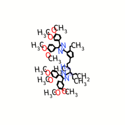 C=C/C(CC)=C(\C=C(/C)CCc1ccc(CC)c(C2N=C(c3ccc(OC)c(OC)c3)C(c3ccc(OC)c(OC)c3)=N2)c1)c1nc(-c2ccc(OC)c(OC)c2)c(-c2ccc(OC)c(OC)c2)[nH]1